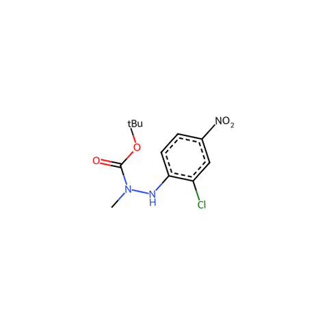 CN(Nc1ccc([N+](=O)[O-])cc1Cl)C(=O)OC(C)(C)C